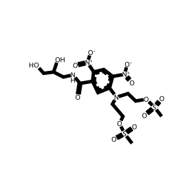 CS(=O)(=O)OCCN(CCOS(C)(=O)=O)c1cc(C(=O)NCC(O)CO)c([N+](=O)[O-])cc1[N+](=O)[O-]